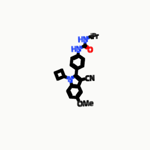 COc1ccc2c(c1)c(C#N)c(-c1ccc(NC(=O)NC(C)C)cc1)n2C1CCC1